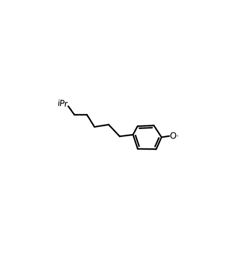 CC(C)CCCCCc1ccc([O])cc1